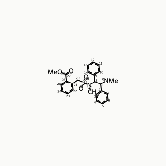 CNC(c1ccccc1)C(c1ccccc1)N(C)S(=O)(=O)Cc1ccccc1C(=O)OC